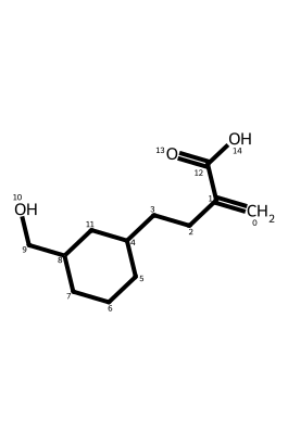 C=C(CCC1CCCC(CO)C1)C(=O)O